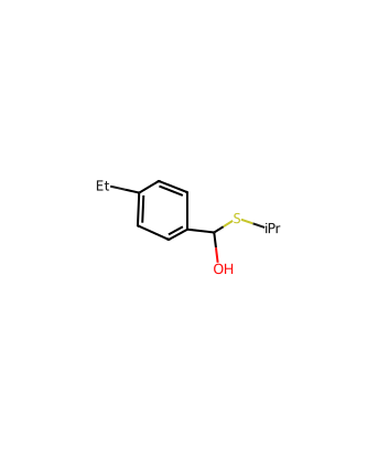 CCc1ccc(C(O)SC(C)C)cc1